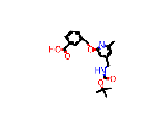 Cc1cc(CNC(=O)OC(C)(C)C)cc(OCc2cccc(C(=O)O)c2)n1